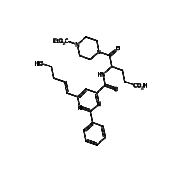 CCOC(=O)N1CCN(C(=O)C(CCC(=O)O)NC(=O)c2cc(C=CCCO)nc(-c3ccccc3)n2)CC1